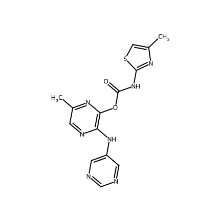 Cc1csc(NC(=O)Oc2nc(C)cnc2Nc2cncnc2)n1